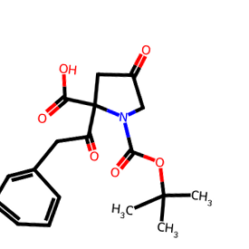 CC(C)(C)OC(=O)N1CC(=O)CC1(C(=O)O)C(=O)Cc1ccccc1